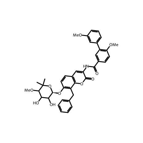 COc1cccc(-c2cc(C(=O)Nc3cc4ccc(O[C@@H]5OC(C)(C)C(OC)C(O)C5O)c(Cc5ccccc5)c4oc3=O)ccc2OC)c1